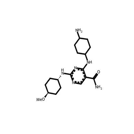 CO[C@H]1CC[C@H](Nc2ncc(C(N)=O)c(NC3CCC(N)CC3)n2)CC1